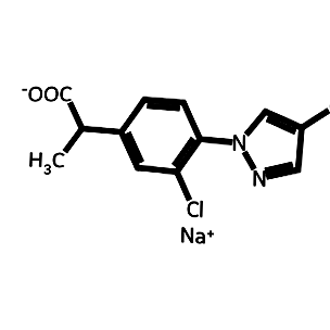 CC(C(=O)[O-])c1ccc(-n2cc(Cl)cn2)c(Cl)c1.[Na+]